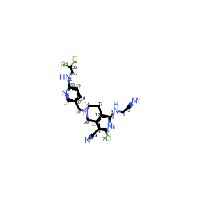 N#CCNc1nc(Cl)c(C#N)c2c1CCN(Cc1ccc(NCC(F)F)nc1)C2